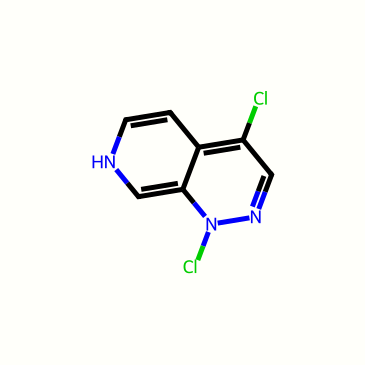 ClC1=C2C=CNC=C2N(Cl)N=C1